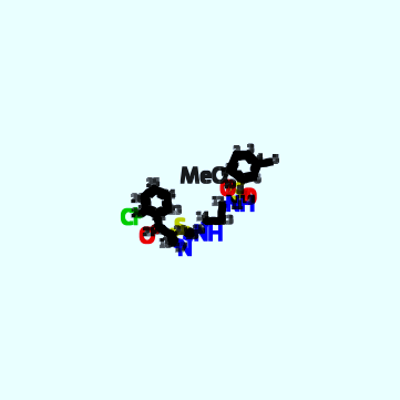 COc1ccc(C)cc1S(=O)(=O)NCCCNc1ncc(C(=O)c2ccccc2Cl)s1